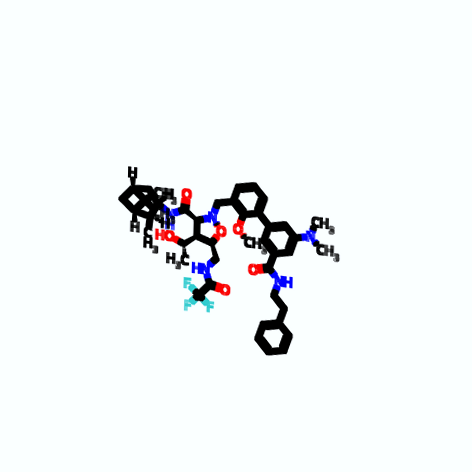 COc1c(CN2O[C@@H](CNC(=O)C(F)(F)F)[C@@H]([C@H](C)O)[C@H]2C(=O)N[C@H]2C[C@H]3C[C@@H]([C@@H]2C)C3(C)C)cccc1-c1cc(C(=O)NCCc2ccccc2)cc(N(C)C)c1